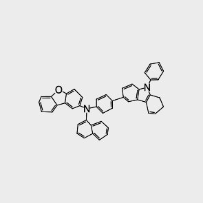 C1=Cc2c(n(-c3ccccc3)c3ccc(-c4ccc(N(c5ccc6oc7ccccc7c6c5)c5cccc6ccccc56)cc4)cc23)CC1